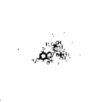 Cc1cc(F)c(COP(=O)(OC(C)(C)C)OC(C)(C)C)c(S(C)(=O)=O)c1